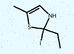 CCC1(I)NC=C(C)S1